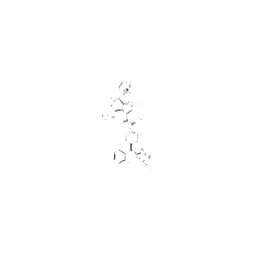 COc1cnc(-n2ccnn2)c2[nH]cc(C(=O)C(=O)N3CCC(=C(c4ccccc4)c4nnc(C)o4)CC3)c12